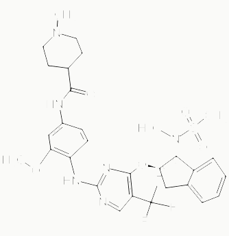 COc1cc(NC(=O)C2CCN(C)CC2)ccc1Nc1ncc(C(F)(F)F)c(O[C@@H]2Cc3ccccc3[C@H]2N(C)S(C)(=O)=O)n1